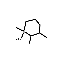 CCC[N+]1(C)CCCC(C)C1C